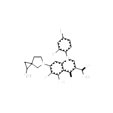 Cc1c(F)c(N2CCC3(CC3N)C2)cc2c1c(=O)c(C(=O)O)cn2-c1ccc(F)cc1F